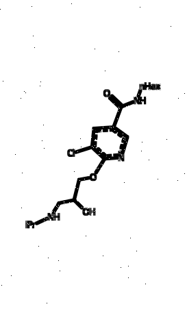 CCCCCCNC(=O)c1cnc(OCC(O)CNC(C)C)c(Cl)c1